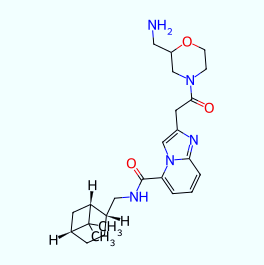 CC1(C)[C@@H]2CC[C@@H](CNC(=O)c3cccc4nc(CC(=O)N5CCOC(CN)C5)cn34)[C@H]1C2